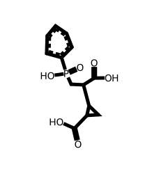 O=C(O)C1CC1C(CP(=O)(O)c1ccccc1)C(=O)O